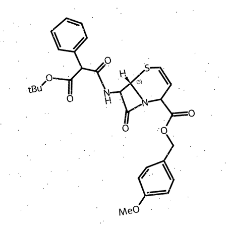 COc1ccc(COC(=O)C2C=CS[C@H]3C(NC(=O)C(C(=O)OC(C)(C)C)c4ccccc4)C(=O)N23)cc1